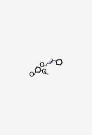 CCOc1cc(C=O)ccc1OCC/C=C(\C)c1ccccc1